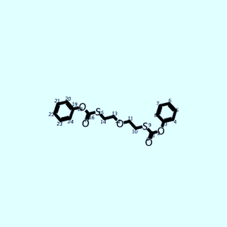 O=C(Oc1ccccc1)SCCOCCSC(=O)Oc1ccccc1